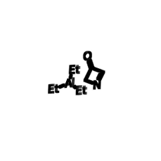 C[CH2][Al]([CH2]C)[CH2]C.O=C1C=NC1